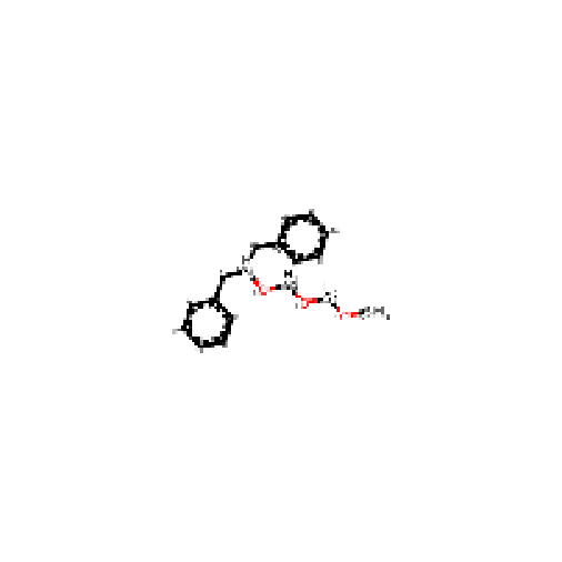 [SiH3]O[SiH2]O[SiH2]O[SiH](Cc1ccccc1)Cc1ccccc1